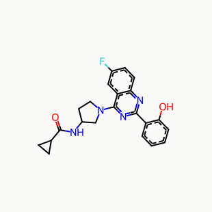 O=C(NC1CCN(c2nc(-c3ccccc3O)nc3ccc(F)cc23)C1)C1CC1